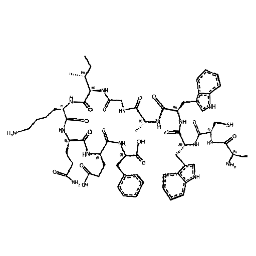 CC[C@@H](C)[C@@H](NC(=O)CNC(=O)[C@@H](C)NC(=O)[C@@H](Cc1c[nH]c2ccccc12)NC(=O)[C@@H](Cc1c[nH]c2ccccc12)NC(=O)[C@@H](CS)NC(=O)[C@@H](C)N)C(=O)N[C@H](CCCCN)C(=O)N[C@H](CCC(N)=O)C(=O)N[C@H](CCC(=O)O)C(=O)N[C@H](Cc1ccccc1)C(=O)O